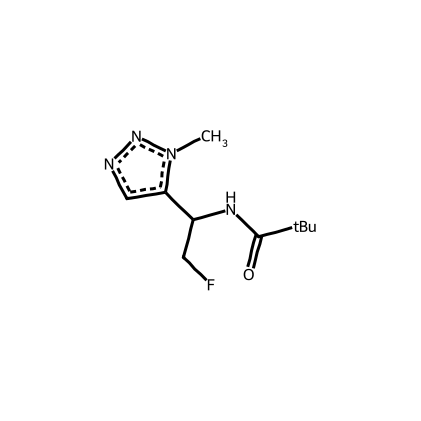 Cn1nncc1C(CF)NC(=O)C(C)(C)C